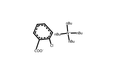 CCCC[N+](CCCC)(CCCC)CCCC.O=C([O-])c1ccccc1Cl